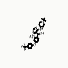 CC(C)(C)N1CCC(Nc2ncnc(N)c2C(=N)c2ccc(Oc3ccc(C(F)(F)F)cc3)cc2)CC1